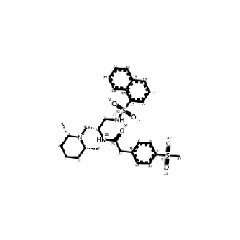 C[C@@H]1CCC[C@H](C)N1C[C@H](CNS(=O)(=O)c1cccc2ccccc12)NC(=O)Cc1ccc(S(C)(=O)=O)cc1